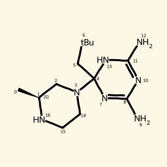 C[C@H]1CN(C2(CC(C)(C)C)N=C(N)N=C(N)N2)CCN1